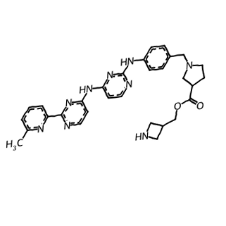 Cc1cccc(-c2nccc(Nc3ccnc(Nc4ccc(CN5CCC(C(=O)OCC6CNC6)C5)cc4)n3)n2)n1